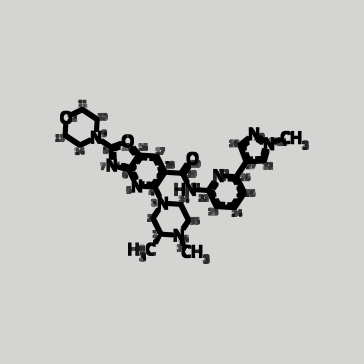 C[C@H]1CN(c2nc3nc(N4CCOCC4)oc3cc2C(=O)Nc2cccc(-c3cnn(C)c3)n2)CCN1C